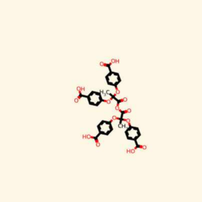 CC(Oc1ccc(C(=O)O)cc1)(Oc1ccc(C(=O)O)cc1)C(=O)OC(=O)C(C)(Oc1ccc(C(=O)O)cc1)Oc1ccc(C(=O)O)cc1